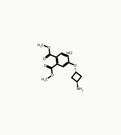 COC(=O)c1ccc(O[C@H]2C[C@H](N)C2)cc1C(=O)OC.Cl